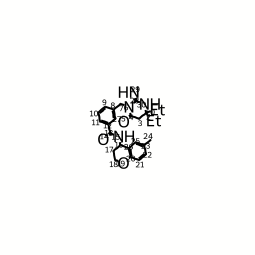 CCC1(CC)CC(=O)N(Cc2cccc(C(=O)NC3CCOc4ccc(C)cc43)c2)C(=N)N1